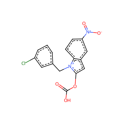 O=C(O)Oc1cc2cc([N+](=O)[O-])ccc2n1Cc1cccc(Cl)c1